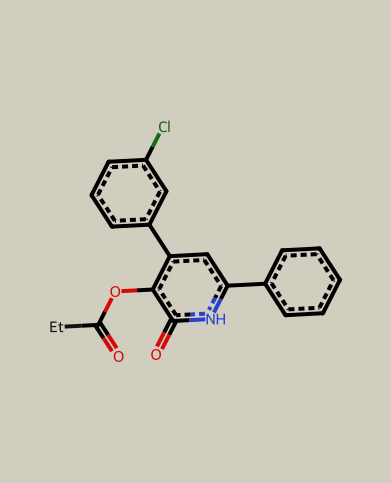 CCC(=O)Oc1c(-c2cccc(Cl)c2)cc(-c2ccccc2)[nH]c1=O